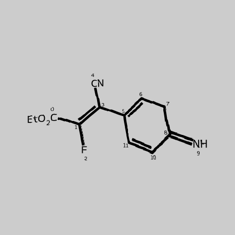 CCOC(=O)C(F)=C(C#N)C1=CCC(=N)C=C1